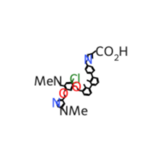 CNCc1cc(Cl)c(OCc2cccc(-c3cccc(-c4ccc(CN5CC(CC(=O)O)C5)cc4)c3C)c2C)cc1OCc1cncc(NC)c1